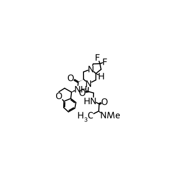 CN[C@@H](C)C(=O)NCC(=O)N1C[C@H]2CC(F)(F)CN2C[C@H]1C(=O)N[C@@H]1CCOc2ccccc21